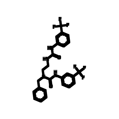 O=C(NCCN(Cc1ccccc1)C(=O)Nc1cccc(C(F)(F)F)c1)Nc1cccc(C(F)(F)F)c1